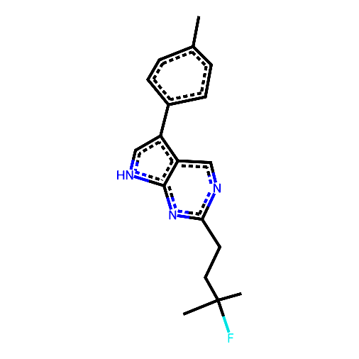 Cc1ccc(-c2c[nH]c3nc(CCC(C)(C)F)ncc23)cc1